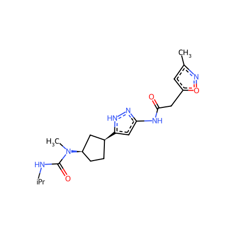 Cc1cc(CC(=O)Nc2cc([C@H]3CC[C@@H](N(C)C(=O)NC(C)C)C3)[nH]n2)on1